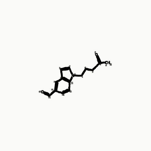 CC(=O)CCCn1ccc2cc(C=O)ccc21